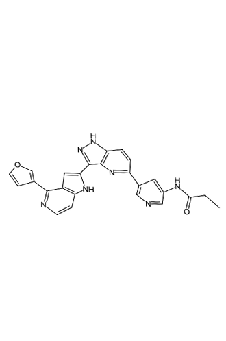 CCC(=O)Nc1cncc(-c2ccc3[nH]nc(-c4cc5c(-c6ccoc6)nccc5[nH]4)c3n2)c1